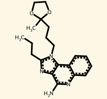 CCCc1nc2c(N)nc3ccccc3c2n1CCCC1(C)OCCO1